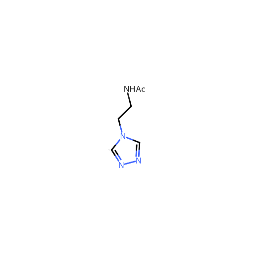 CC(=O)NCCn1[c]nnc1